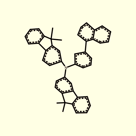 CC1(C)c2ccccc2-c2cc(N(c3cccc(-c4cccc5ccccc45)c3)c3ccc4c(c3)C(C)(C)c3ccccc3-4)ccc21